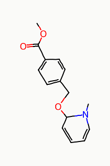 COC(=O)c1ccc(COC2C=CC=CN2C)cc1